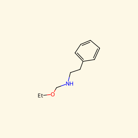 CCOCNCCc1ccccc1